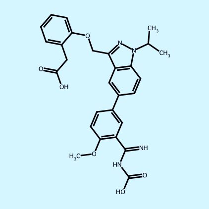 COc1ccc(-c2ccc3c(c2)c(COc2ccccc2CC(=O)O)nn3C(C)C)cc1C(=N)NC(=O)O